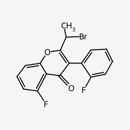 CC(Br)c1oc2cccc(F)c2c(=O)c1-c1ccccc1F